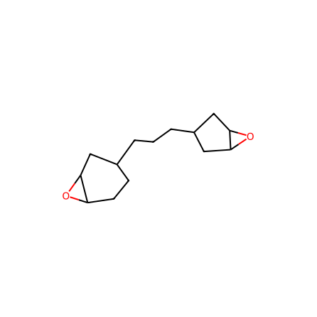 C(CC1CCC2OC2C1)CC1CC2OC2C1